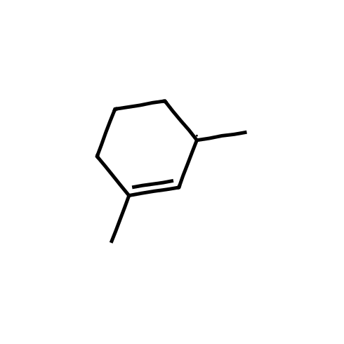 C[C]1C=C(C)CCC1